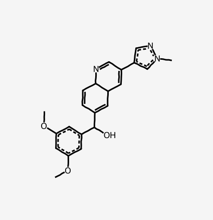 COc1cc(OC)cc(C(O)C2=CC3C=C(c4cnn(C)c4)C=NC3C=C2)c1